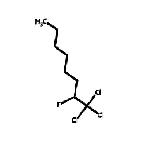 CCCCCCC(F)C(Cl)(Cl)Cl